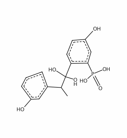 CC(c1cccc(O)c1)C(O)(O)c1ccc(O)cc1P(=O)(O)O